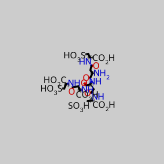 N[C@@H](CC(=O)N[C@@H](CS(=O)(=O)O)C(=O)O)C(=O)N[C@@H](CC(=O)N[C@@H](CS(=O)(=O)O)C(=O)O)C(=O)N[C@@H](CC(=O)N[C@@H](CS(=O)(=O)O)C(=O)O)C(=O)O